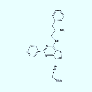 CNCC#Cc1csc2c(NC[C@@H](N)Cc3ccccc3)nc(-c3ccncc3)nc12